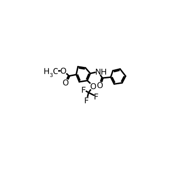 COC(=O)c1ccc(NC(=O)c2ccccc2)c(OC(F)(F)F)c1